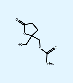 CCCCCCC(=O)OCC1(CO)CCC(=O)O1